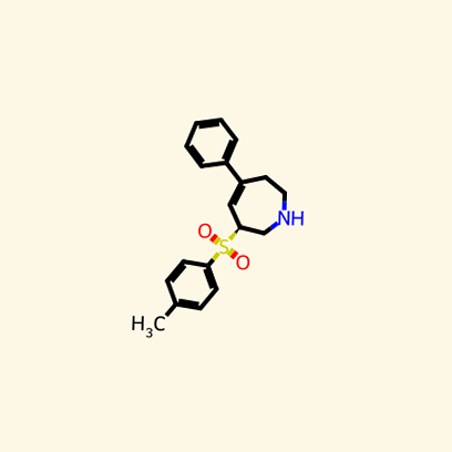 Cc1ccc(S(=O)(=O)[C@H]2C=C(c3ccccc3)CCNC2)cc1